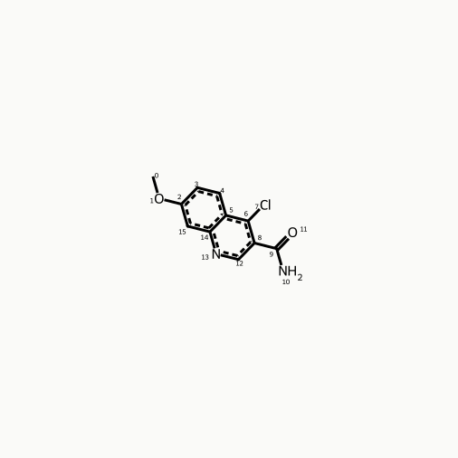 COc1ccc2c(Cl)c(C(N)=O)cnc2c1